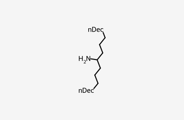 CCCCCCCCCCCCCC(N)CCCCCCCCCCCCC